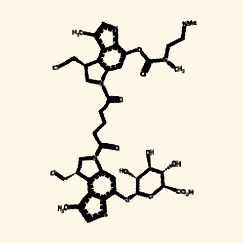 CNCCN(C)C(=O)Oc1cc2c(c3c(C)csc13)[C@H](CCl)CN2C(=O)CCCC(=O)N1C[C@@H](CCl)c2c1cc(O[C@@H]1O[C@H](C(=O)O)[C@@H](O)[C@H](O)[C@H]1O)c1scc(C)c21